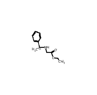 CCOC(=O)CN[C@H](C)c1ccccc1